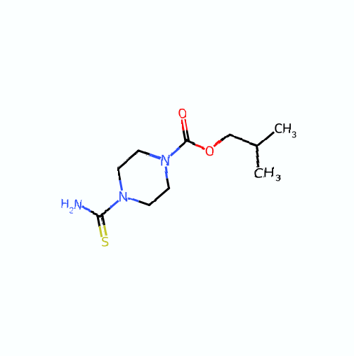 CC(C)COC(=O)N1CCN(C(N)=S)CC1